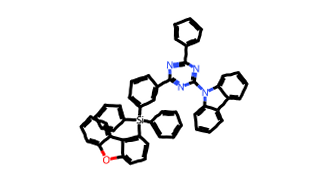 c1ccc(-c2nc(-c3cccc([Si](c4ccccc4)(c4ccccc4)c4cccc5oc6ccccc6c45)c3)nc(-n3c4ccccc4c4ccccc43)n2)cc1